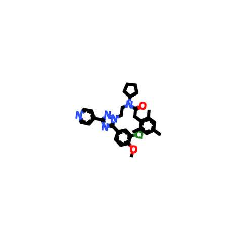 COc1ccc(-c2nc(-c3ccncc3)nn2CCN(C(=O)Cc2c(C)cc(C)cc2C)C2CCCC2)cc1Cl